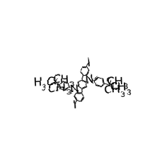 CC(C)(C)c1ccc(-n2c3cc(I)ccc3c3cc4c(cc32)c2ccc(I)cc2n4-c2ccc(C(C)(C)C)cc2)cc1